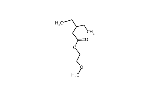 CCC(CC)CC(=O)OCCOC